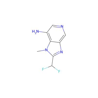 Cn1c(C(F)F)nc2cncc(N)c21